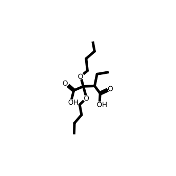 CCCCOC(OCCCC)(C(=O)O)C(CC)C(=O)O